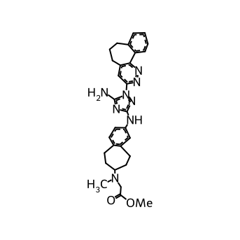 COC(=O)CN(C)C1CCc2ccc(Nc3nc(N)n(-c4cc5c(nn4)-c4ccccc4CCC5)n3)cc2CC1